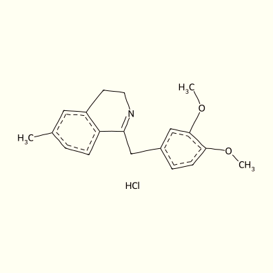 COc1ccc(CC2=NCCc3cc(C)ccc32)cc1OC.Cl